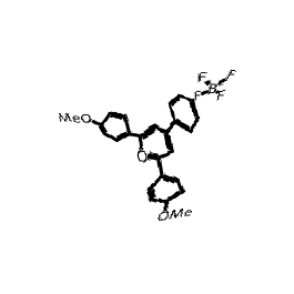 COc1ccc(-c2cc(-c3ccccc3)cc(-c3ccc(OC)cc3)[o+]2)cc1.F[B-](F)(F)F